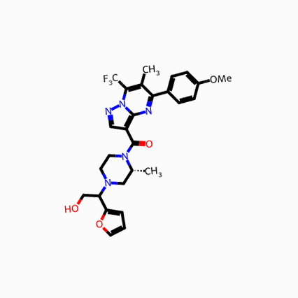 COc1ccc(-c2nc3c(C(=O)N4CCN(C(CO)c5ccco5)C[C@H]4C)cnn3c(C(F)(F)F)c2C)cc1